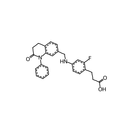 O=C(O)CCc1ccc(NCc2ccc3c(c2)N(c2ccccc2)C(=O)CC3)cc1F